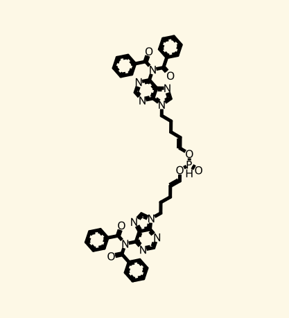 O=C(c1ccccc1)N(C(=O)c1ccccc1)c1ncnc2c1ncn2CCCC=CO[PH](=O)OC=CCCCn1cnc2c(N(C(=O)c3ccccc3)C(=O)c3ccccc3)ncnc21